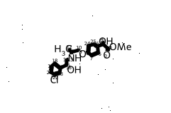 COC(=O)C(O)c1ccc(OCC(C)NCC(O)c2cccc(Cl)c2)cc1